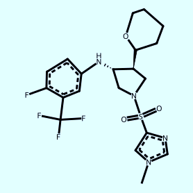 Cn1cnc(S(=O)(=O)N2C[C@H](Nc3ccc(F)c(C(F)(F)F)c3)[C@@H](C3CCCCO3)C2)c1